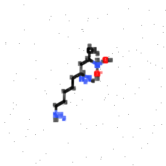 CC(CC(N)CCCCCN)[N+](=O)[O-]